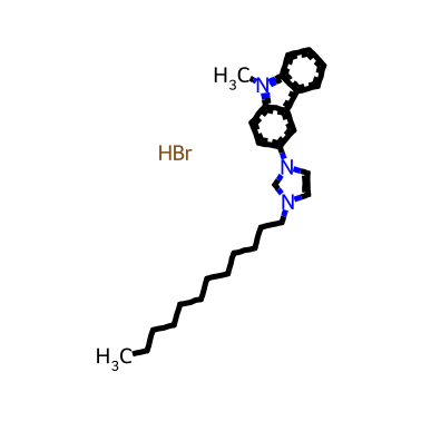 Br.CCCCCCCCCCCCN1C=CN(c2ccc3c(c2)c2ccccc2n3C)C1